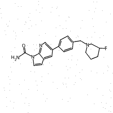 NC(=O)n1c[c]c2cc(-c3ccc(CN4CCCC(F)C4)cc3)cnc21